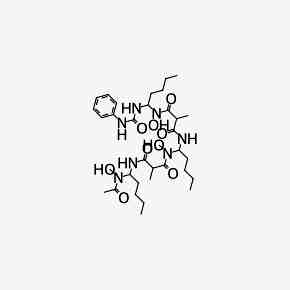 CCCCC(NC(=O)C(C)C(=O)N(O)C(CCCC)NC(=O)C(C)C(=O)N(O)C(CCCC)NC(=O)Nc1ccccc1)N(O)C(C)=O